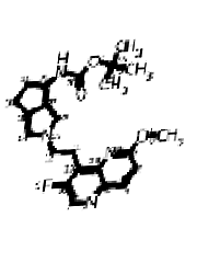 COc1ccc2ncc(F)c(CCN3CC4CCC(NC(=O)OC(C)(C)C)C4C3)c2n1